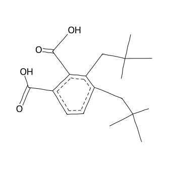 CC(C)(C)Cc1ccc(C(=O)O)c(C(=O)O)c1CC(C)(C)C